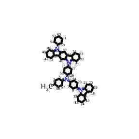 Cc1ccc(N(c2ccc(-n3c4ccccc4c4ccccc43)cc2)c2ccc(-n3c4ccccc4c4cc5c(cc43)c3ccccc3n5-c3ccccc3)cc2)cc1